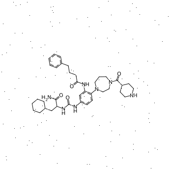 NC(=O)C(CC1CCCCC1)NC(=O)Nc1ccc(N2CCCN(C(=O)C3CCNCC3)CC2)c(NC(=O)CCCc2ccccc2)c1